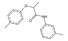 Cc1ccc(OC(C)C(=O)Nc2cccc(C)c2)cc1